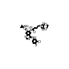 NC1(COc2cc3ncnc(Nc4ccc(F)c(Cl)c4)c3cc2NC(=O)/C=C/CN2C[C@@H]3OCCO[C@H]3C2)CC1